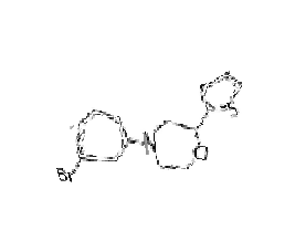 Brc1[c]ccc(N2CCOC(c3cccs3)C2)c1